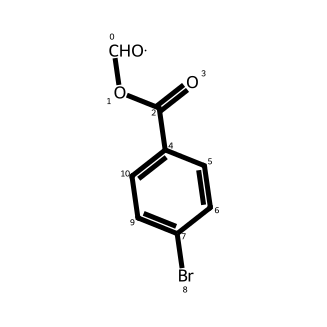 O=[C]OC(=O)c1ccc(Br)cc1